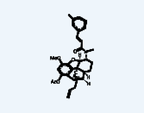 C=CCN1CC[C@]23c4c5c(OC(C)=O)cc(OC)c4O[C@H]2[C@H](N(C)C(=O)C=Cc2cccc(C)c2)CC[C@H]3[C@H]1C5